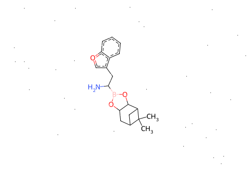 CC1(C)C2CC3OB(C(N)Cc4coc5ccccc45)OC3C1C2